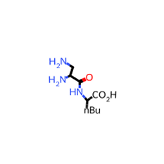 CCCCC(NC(=O)C(N)CN)C(=O)O